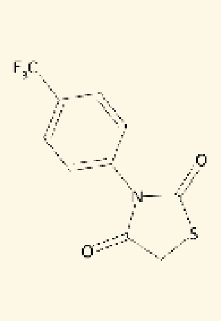 O=C1CSC(=O)N1c1ccc(C(F)(F)F)cc1